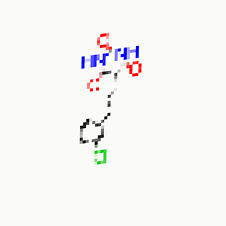 O=C1NC(=O)C(CCCc2cccc(Cl)c2)C(=O)N1